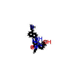 C=CCn1c(=O)c2cnc(Nc3ccc4c(CCN(C)C)cccc4c3)nc2n1-c1cccc(C(C)(C)O)n1